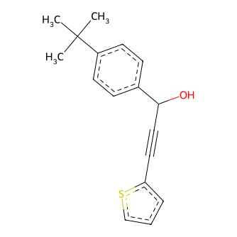 CC(C)(C)c1ccc(C(O)C#Cc2cccs2)cc1